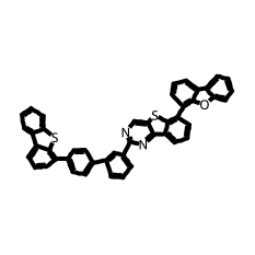 c1cc(-c2ccc(-c3cccc4c3sc3ccccc34)cc2)cc(-c2ncc3sc4c(-c5cccc6c5oc5ccccc56)cccc4c3n2)c1